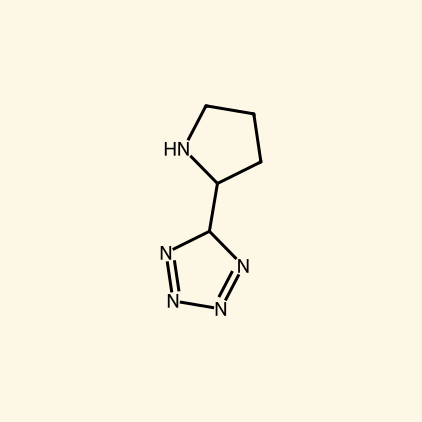 C1CNC(C2N=NN=N2)C1